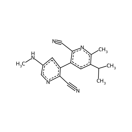 CNc1cnc(C#N)c(-c2cc(C(C)C)c(C)nc2C#N)c1